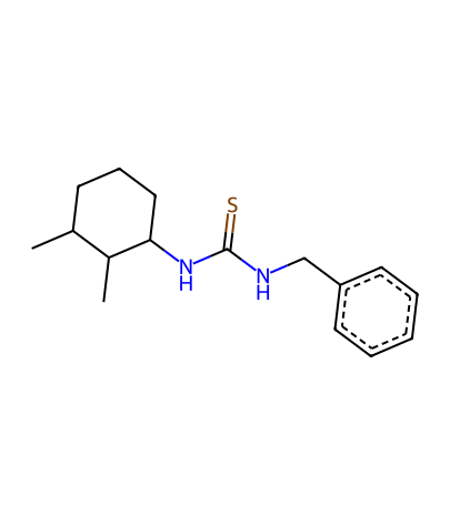 CC1CCCC(NC(=S)NCc2ccccc2)C1C